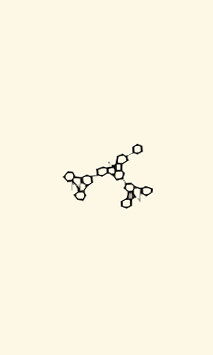 c1ccc(-c2ccc3c(c2)c2cc(-c4cc5c6ccccc6n6c7ccccc7c(c4)c56)cc4c5cc(-c6cc7c8ccccc8n8c9ccccc9c(c6)c78)ccc5n3c24)cc1